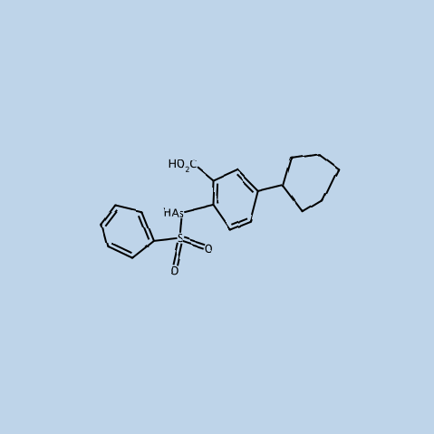 O=C(O)c1cc(C2CCCCC2)ccc1[AsH]S(=O)(=O)c1ccccc1